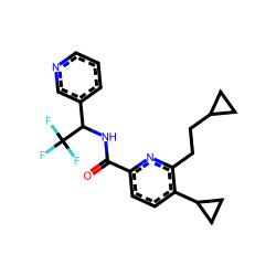 O=C(NC(c1cccnc1)C(F)(F)F)c1ccc(C2CC2)c(CCC2CC2)n1